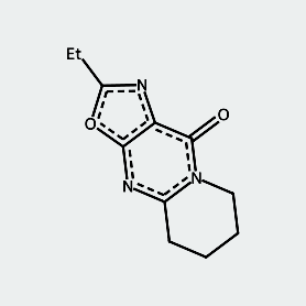 CCc1nc2c(=O)n3c(nc2o1)CCCC3